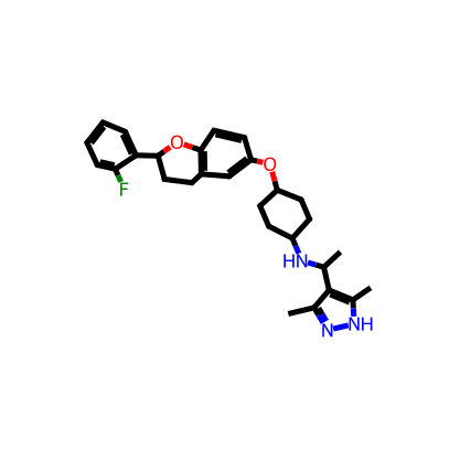 Cc1n[nH]c(C)c1C(C)NC1CCC(Oc2ccc3c(c2)CCC(c2ccccc2F)O3)CC1